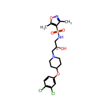 Cc1noc(C)c1S(=O)(=O)NC[C@@H](O)CN1CCC(Oc2ccc(Cl)c(Cl)c2)CC1